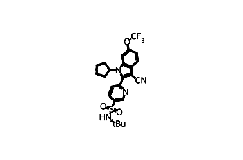 CC(C)(C)NS(=O)(=O)c1ccc(-c2c(C#N)c3ccc(OC(F)(F)F)cc3n2C2CCCC2)nc1